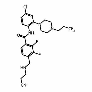 N#CCCNCc1ccc(C(=O)Nc2ccc(Cl)cc2N2CCN(CCC(F)(F)F)CC2)c(F)c1F